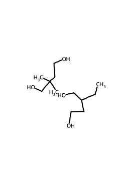 CC(C)(CO)CCO.CCC(CO)CCO